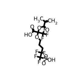 C=C(C)C(=O)OC(OCCCC(F)(F)C(F)(F)S(=O)(=O)O)(C(=O)O)C(F)(F)F